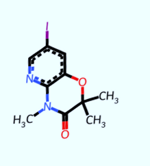 CN1C(=O)C(C)(C)Oc2cc(I)cnc21